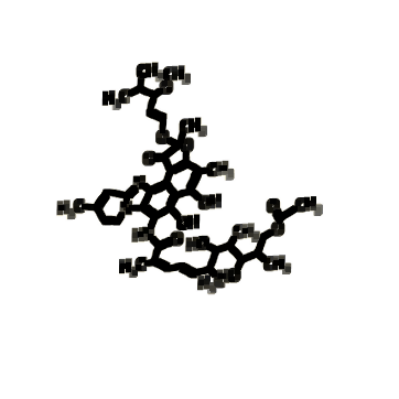 COC(/C=C/OC1(C)Oc2c(C)c(O)c3c(O)c(NC(=O)/C(C)=C\C=C\C(C)C(O)C(C)C(O)C(C)COC(C)=O)c4c(nc5cc(C)ccn54)c3c2C1=O)C(C)C